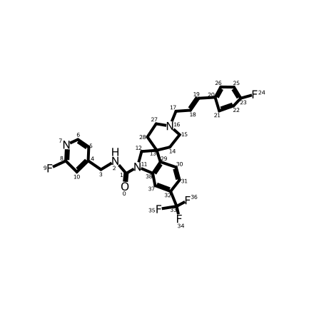 O=C(NCc1ccnc(F)c1)N1CC2(CCN(CC=Cc3ccc(F)cc3)CC2)c2ccc(C(F)(F)F)cc21